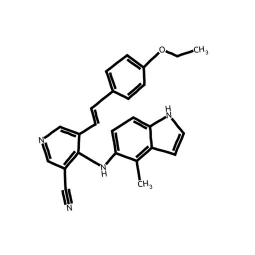 CCOc1ccc(C=Cc2cncc(C#N)c2Nc2ccc3[nH]ccc3c2C)cc1